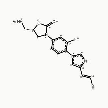 CC(=O)NC[C@H]1CN(c2ccc(-n3cnc(/C=C/Br)c3)c(F)c2)C(=O)O1